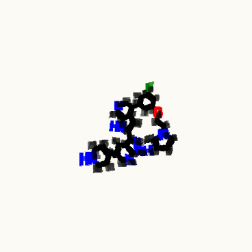 Fc1cc(OCCN2CCCC2)cc(-c2cncc3[nH]c(-c4n[nH]c5ncc(C6=CCNCC6)cc45)cc23)c1